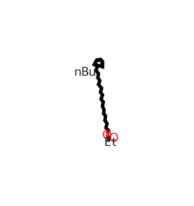 CCCCC(CCCCCCCCCCCCCCCCCOC(=O)CC)c1ccccc1